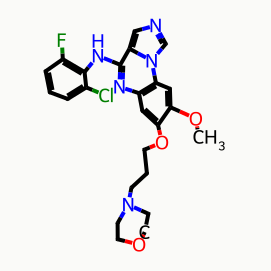 COc1cc2c(cc1OCCCN1CCOCC1)nc(Nc1c(F)cccc1Cl)c1cncn12